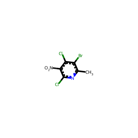 Cc1nc(Cl)c([N+](=O)[O-])c(Cl)c1Br